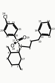 CC1CCC(C)C(N(CCCc2ccccc2)S(=O)(=O)c2ccc(Cl)cc2)C1